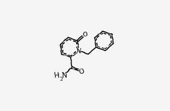 NC(=O)c1cccc(=O)n1Cc1ccccc1